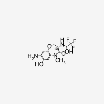 CN1C(=O)[C@@H](NC(O)C(F)(F)F)COc2cc(N)c(O)cc21